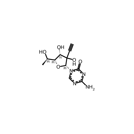 C#CC1(O)[C@@H](O)[C@@H]([C@@H](C)O)O[C@H]1n1cnc(N)nc1=O